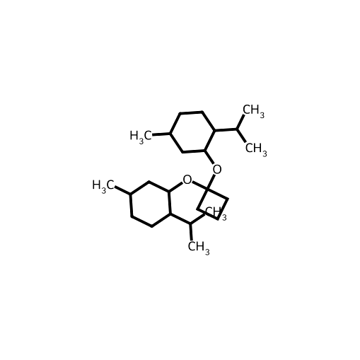 CC1CCC(C(C)C)C(OC2(OC3CC(C)CCC3C(C)C)CCC2)C1